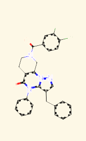 O=C(c1ccc(Br)c(Cl)c1)N1CCc2c(n3ncc(Cc4ccccc4)c3n(-c3ccccc3)c2=O)C1